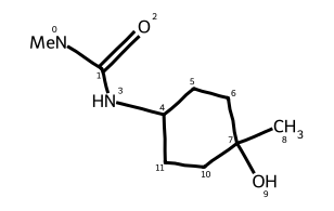 CNC(=O)NC1CCC(C)(O)CC1